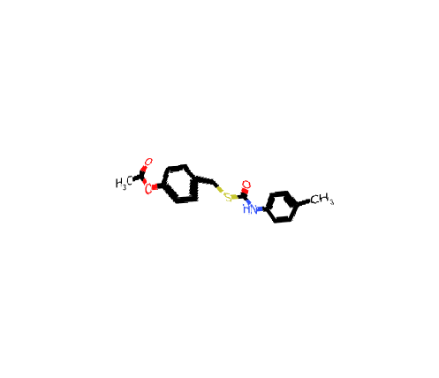 CC(=O)Oc1ccc(CSC(=O)Nc2ccc(C)cc2)cc1